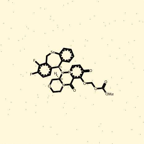 COC(=O)OCOc1c2n(ccc1=O)N([C@@H]1c3ccccc3[Se]Cc3c1ccc(F)c3F)[C@@H]1COCCN1C2=O